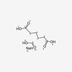 O=C(O)CCCCC(=O)O.O=CO.[NaH]